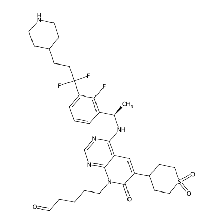 C[C@@H](Nc1ncnc2c1cc(C1CCS(=O)(=O)CC1)c(=O)n2CCCCC=O)c1cccc(C(F)(F)CCC2CCNCC2)c1F